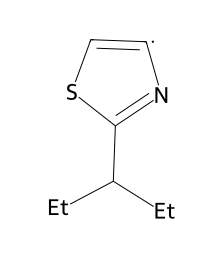 CCC(CC)c1n[c]cs1